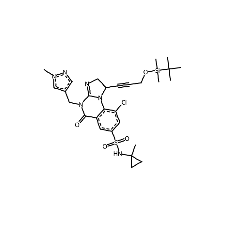 Cn1cc(CN2C(=O)c3cc(S(=O)(=O)NC4(C)CC4)cc(Cl)c3N3C2=NCC3C#CCO[Si](C)(C)C(C)(C)C)cn1